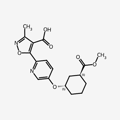 COC(=O)[C@H]1CCC[C@H](Oc2ccc(-c3onc(C)c3C(=O)O)nc2)C1